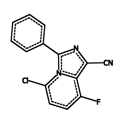 N#Cc1nc(-c2ccccc2)n2c(Cl)ccc(F)c12